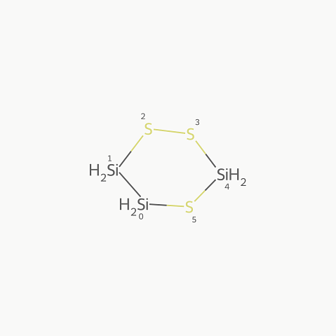 [SiH2]1[SiH2]SS[SiH2]S1